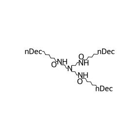 CCCCCCCCCCCCCCCC(=O)NCCCN(CCCNC(=O)CCCCCCCCCCCCCCC)CCCNC(=O)CCCCCCCCCCCCCCC